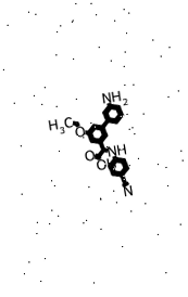 CCOc1cc(-c2cccc(N)c2)cc(C(Nc2ccc(C#N)cc2)C(=O)O)c1